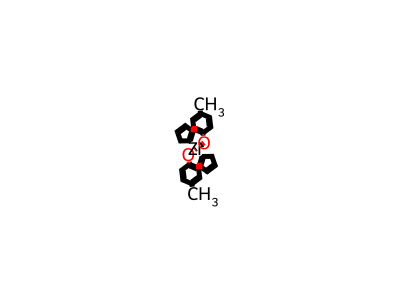 Cc1ccc([O][Zr]([O]c2ccc(C)cc2)([C]2=CC=CC2)[C]2=CC=CC2)cc1